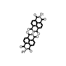 CCN1C(=O)c2ccc3c4c(ccc(c24)C1=O)C(=O)N(N1C(=O)c2ccc4c5c(ccc(c25)C1=O)C(=O)N(C(C)C)C4=O)C3=O